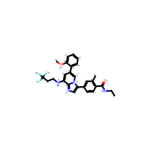 CCNC(=O)c1ccc(-c2cnc3c(NCCC(F)(F)F)cc(-c4ccccc4OC)cn23)cc1C